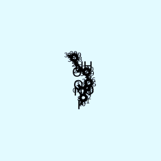 CNC(=O)c1c(-c2ccc(F)cc2)oc2ccc(-c3cccc(C(=O)NCc4cccc(C)c4)c3)cc12